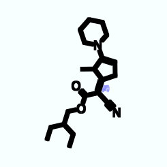 CCC(CC)COC(=O)/C(C#N)=C1/CC=C(N2CCCCC2)C1C